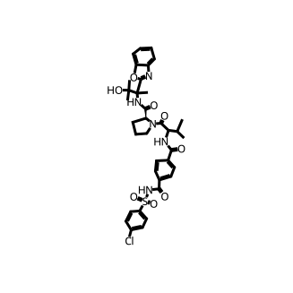 CC(C)C(NC(=O)c1ccc(C(=O)NS(=O)(=O)c2ccc(Cl)cc2)cc1)C(=O)N1CCC[C@H]1C(=O)NC(C)(c1nc2ccccc2o1)C(C)(C)O